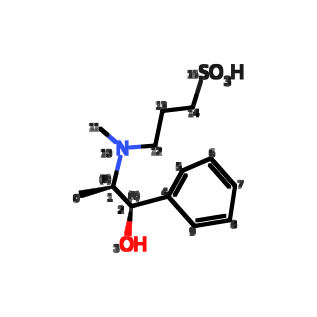 C[C@H]([C@H](O)c1ccccc1)N(C)CCCS(=O)(=O)O